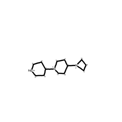 C1CN(C2CCN(C3CCNCC3)CC2)C1